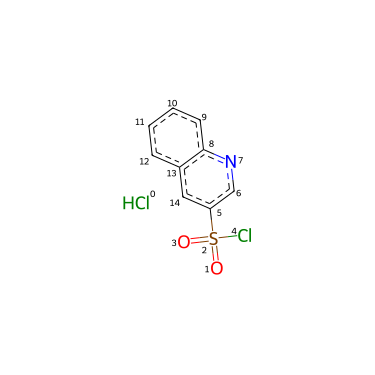 Cl.O=S(=O)(Cl)c1cnc2ccccc2c1